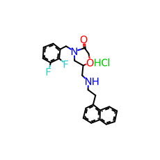 Cl.O=C1COC(CNCCc2cccc3ccccc23)CN1Cc1cccc(F)c1F